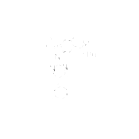 CCCCC(=O)c1ccc2c(c1)N(c1ncc(-c3ccccc3)cn1)CC21CC1